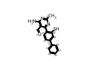 Cc1nc(N)c(C=O)c(-c2ccc(-c3ccccc3)cc2S)n1